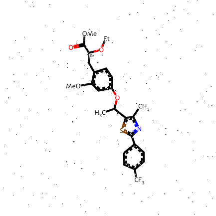 CCO[C@@H](Cc1ccc(OC(C)c2sc(-c3ccc(C(F)(F)F)cc3)nc2C)cc1OC)C(=O)OC